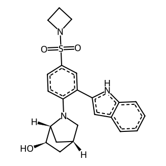 O=S(=O)(c1ccc(N2C[C@@H]3C[C@@H](O)[C@H]2C3)c(-c2cc3ccccc3[nH]2)c1)N1CCC1